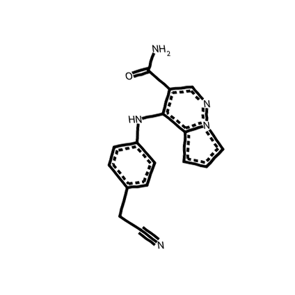 N#CCc1ccc(Nc2c(C(N)=O)cnn3cccc23)cc1